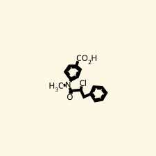 CN(C(=O)C(Cl)Cc1ccccc1)c1ccc(C(=O)O)cc1